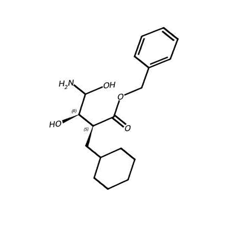 NC(O)[C@H](O)[C@H](CC1CCCCC1)C(=O)OCc1ccccc1